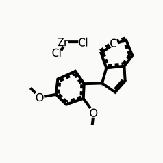 COc1ccc([C]2C=Cc3ccccc32)c(OC)c1.[Cl][Zr][Cl]